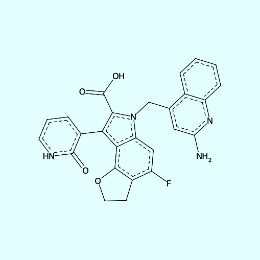 Nc1cc(Cn2c(C(=O)O)c(-c3ccc[nH]c3=O)c3c4c(c(F)cc32)CCO4)c2ccccc2n1